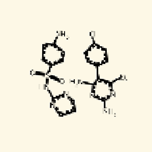 CCc1nc(N)nc(N)c1-c1ccc(Cl)cc1.Nc1ccc(S(=O)(=O)Nc2ncccn2)cc1